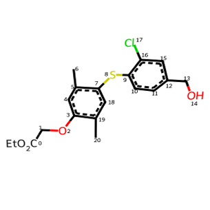 CCOC(=O)COc1cc(C)c(Sc2ccc(CO)cc2Cl)cc1C